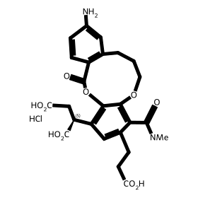 CNC(=O)c1c(CCC(=O)O)cc([C@H](CC(=O)O)C(=O)O)c2c1OCCCc1cc(N)ccc1C(=O)O2.Cl